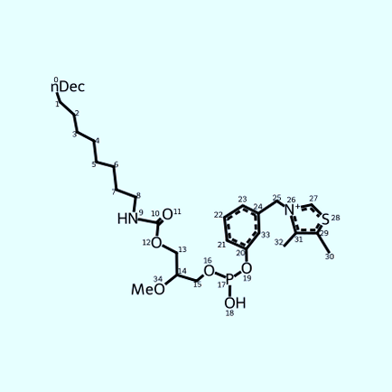 CCCCCCCCCCCCCCCCCCNC(=O)OCC(COP(O)Oc1cccc(C[n+]2csc(C)c2C)c1)OC